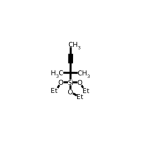 CC#CC(C)(C)[Si](OCC)(OCC)OCC